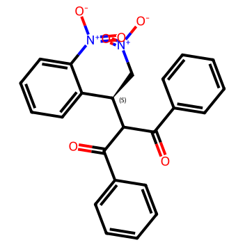 O=C(c1ccccc1)C(C(=O)c1ccccc1)[C@H](C[N+](=O)[O-])c1ccccc1[N+](=O)[O-]